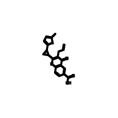 C=CCc1c(C2CC2c2ccc(C)s2)oc2ccc(C(=O)O)cc2c1=O